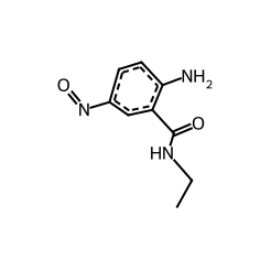 CCNC(=O)c1cc(N=O)ccc1N